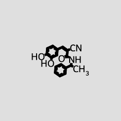 CC(NC(=O)C(C#N)=Cc1ccc(O)c(O)c1)c1ccccc1